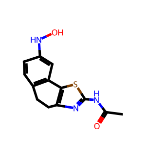 CC(=O)Nc1nc2c(s1)-c1cc(NO)ccc1CC2